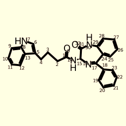 O=C(CCCc1c[nH]c2ccccc12)N[C@H]1N=C(c2ccccc2)c2ccccc2NC1=O